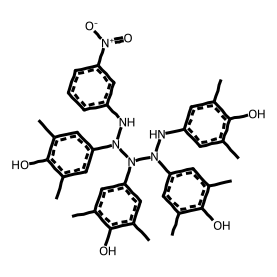 Cc1cc(NN(c2cc(C)c(O)c(C)c2)N(c2cc(C)c(O)c(C)c2)N(Nc2cccc([N+](=O)[O-])c2)c2cc(C)c(O)c(C)c2)cc(C)c1O